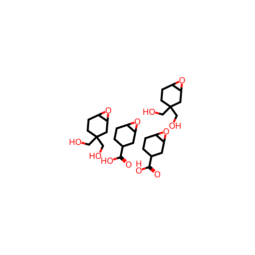 O=C(O)C1CCC2OC2C1.O=C(O)C1CCC2OC2C1.OCC1(CO)CCC2OC2C1.OCC1(CO)CCC2OC2C1